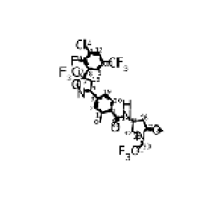 Cc1cc(C2=NO[C@](c3cc(C(F)(F)F)cc(Cl)c3F)(C(F)(F)F)C2)ccc1C(=O)N[C@H]1CC(=O)N(CC(F)(F)F)C1